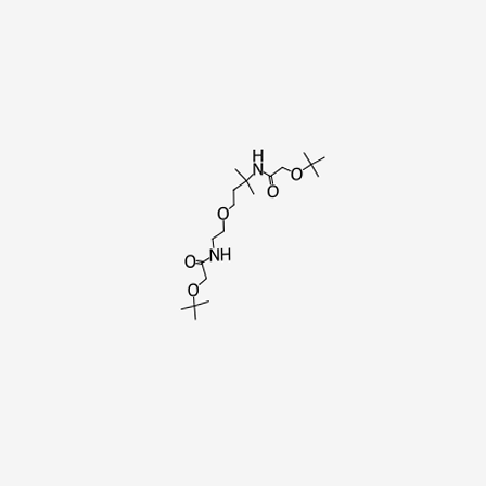 CC(C)(CCOCCNC(=O)COC(C)(C)C)NC(=O)COC(C)(C)C